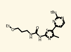 CCOCCCNC(=O)Nc1nc(C)c(-c2ccnc(C(C)(C)C)n2)s1